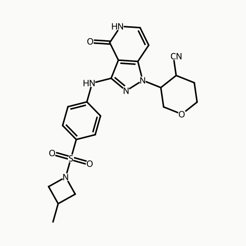 CC1CN(S(=O)(=O)c2ccc(Nc3nn(C4COCCC4C#N)c4cc[nH]c(=O)c34)cc2)C1